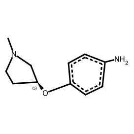 CN1CC[C@H](Oc2ccc(N)cc2)C1